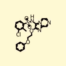 Cc1c(Cl)cccc1S(=O)(=O)Nc1c(OCCOc2ccccc2)nc2cnccn12